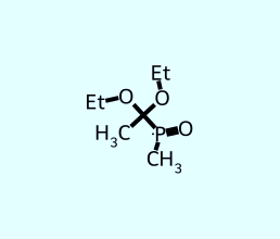 CCOC(C)(OCC)[P](C)=O